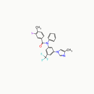 Cc1cn(-c2cc(N(C(=O)c3ccc(C)c(I)c3)c3ccccc3)cc(C(F)(F)F)c2)cn1